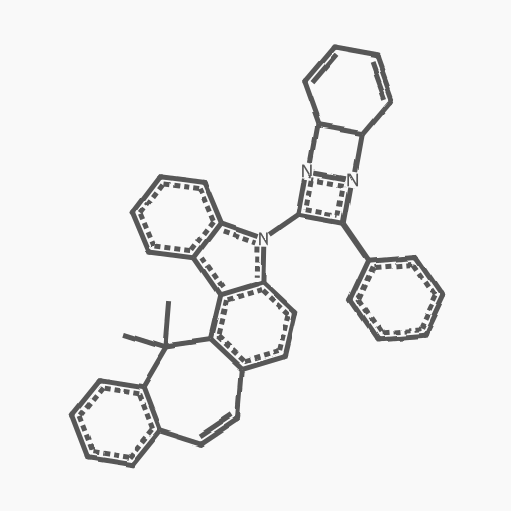 CC1(C)c2ccccc2C=Cc2ccc3c(c21)c1ccccc1n3-c1c(-c2ccccc2)n2n1C1C=CC=CC12